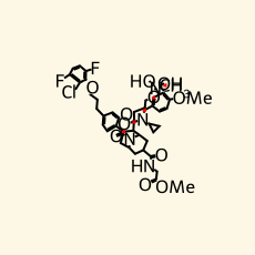 COC(=O)CNC(=O)C1CC2CC(c3ccc(CCCOc4c(F)ccc(F)c4Cl)cc3)C(C(=O)N(Cc3ccc(OC)c(C)c3)C3CC3)C(C1)N2C(=O)OCCCCON(O)O